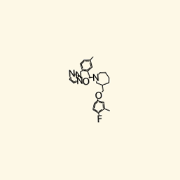 Cc1ccc(-n2nccn2)c(C(=O)N2CCCCC(COc3ccc(F)c(C)c3)C2)c1